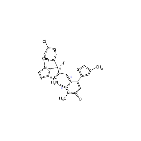 C=C(/C=c1/c(-c2cc(C)cs2)cc(=O)n(C)/c1=C/N)[C@](F)(c1ccc(Cl)cc1)c1cncn1C